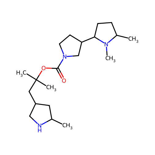 CC1CC(CC(C)(C)OC(=O)N2CCC(C3CCC(C)N3C)C2)CN1